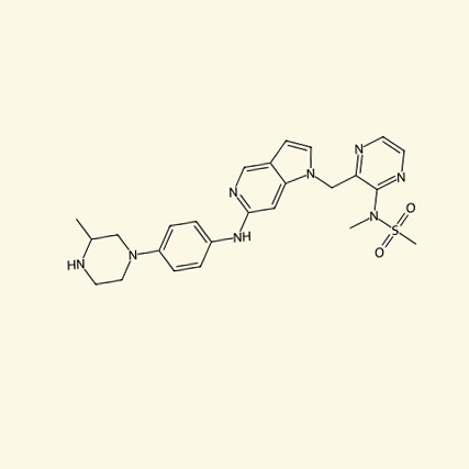 CC1CN(c2ccc(Nc3cc4c(ccn4Cc4nccnc4N(C)S(C)(=O)=O)cn3)cc2)CCN1